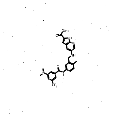 COC(=O)c1cc2cc(NCc3cc(NC(=O)c4cc(N(C)C)cc(C(F)(F)F)c4)ccc3C)cnc2[nH]1